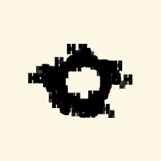 CCCCC[C@H]1C(=O)N[C@@H](C)C(=O)N[C@H](C(=O)NCC(N)=O)CNCC(=O)N[C@@H](Cc2ccc(O)cc2)C(=O)N(C)[C@@H](C)C(=O)NC(CC(=O)O)C(=O)N2CCC[C@H]2C(=O)N[C@@H](Cc2cnc[nH]2)C(=O)N[C@@H](CCC(N)=O)C(=O)N2C[C@H](O)C[C@H]2C(=O)N[C@@H](Cc2c[nH]c3ccccc23)C(=O)N[C@@H](CO)C(=O)N[C@@H](Cc2cn(CC(=O)O)c3ccccc23)C(=O)N(C)[C@@H](CCCC)C(=O)N1C